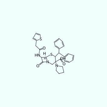 O=C(Cc1cccs1)NC1C(=O)N2CC(C(=O)O)(N3CCCC3)C(C(c3ccccc3)c3ccccc3)S[C@H]12